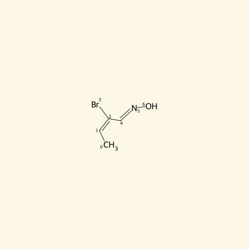 C/C=C(Br)\C=N\O